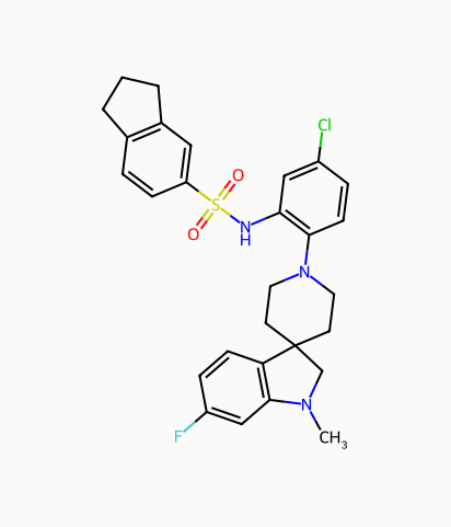 CN1CC2(CCN(c3ccc(Cl)cc3NS(=O)(=O)c3ccc4c(c3)CCC4)CC2)c2ccc(F)cc21